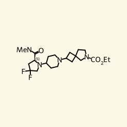 CCOC(=O)N1CCC2(CC(N3CCC(N4CC(F)(F)C[C@H]4C(=O)NC)CC3)C2)C1